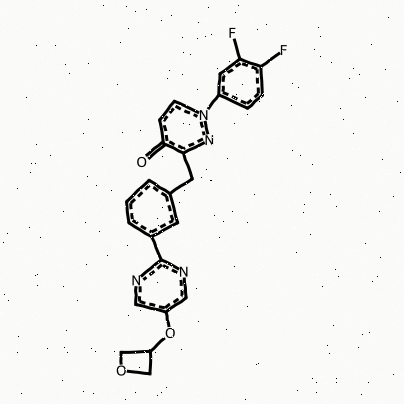 O=c1ccn(-c2ccc(F)c(F)c2)nc1Cc1cccc(-c2ncc(OC3COC3)cn2)c1